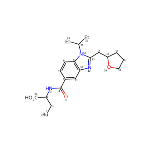 CCC(C)CC(NC(=O)c1ccc2c(c1)nc(CC1CCCO1)n2C(CC)CC)C(=O)O